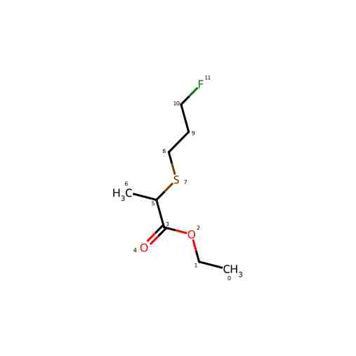 CCOC(=O)C(C)SCCCF